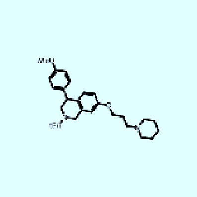 COc1ccc(C2CN(C(C)(C)C)Cc3cc(OCCCN4CCCCC4)ccc32)cc1